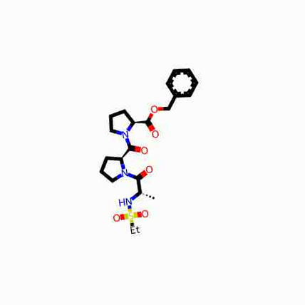 CCS(=O)(=O)N[C@@H](C)C(=O)N1CCC[C@H]1C(=O)N1CCC[C@H]1C(=O)OCc1ccccc1